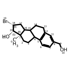 C[C@@]12CCC3c4ccc(CO)cc4CCC3C1C[C@@H](Br)[C@H]2O